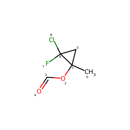 CC1(OC=O)CC1(F)Cl